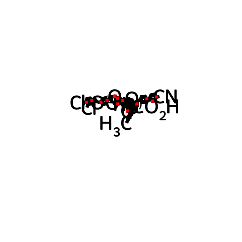 CC#CCOC(=O)N1Cc2cc3c(cc2CC1C(=O)N[C@@H](Cc1ccc(-c2ccc(C#N)cc2)cc1)C(=O)O)OC[C@H](c1ccc(OCc2ccc(Cl)c(Cl)c2)cc1)O3